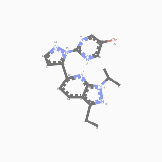 CCc1nn(C(C)C)c2nc(-c3ccnn3-c3ncc(Br)cn3)ccc12